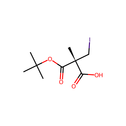 CC(C)(C)OC(=O)[C@](C)(CI)C(=O)O